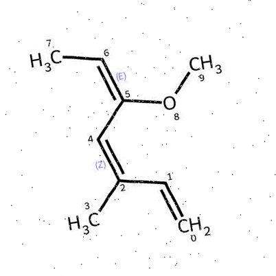 C=C/C(C)=C\C(=C/C)OC